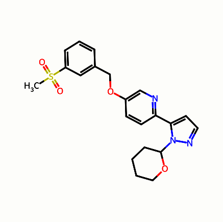 CS(=O)(=O)c1cccc(COc2ccc(-c3ccnn3C3CCCCO3)nc2)c1